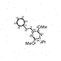 COC1=N[C@H](C(C)C)C(OC)=N[C@H]1CCc1ccccc1